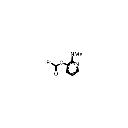 CNc1ncccc1OC(=O)C(C)C